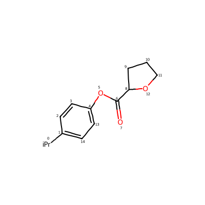 CC(C)c1ccc(OC(=O)C2CCCO2)cc1